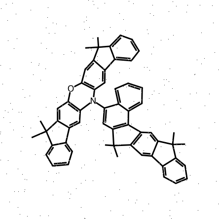 CC1(C)c2ccccc2-c2cc3c(cc21)Oc1cc2c(cc1N3c1cc3c(c4ccccc14)-c1cc4c(cc1C3(C)C)-c1ccccc1C4(C)C)-c1ccccc1C2(C)C